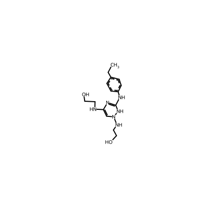 CCc1ccc(NC2=NC(NCCO)=CN(NCCO)N2)cc1